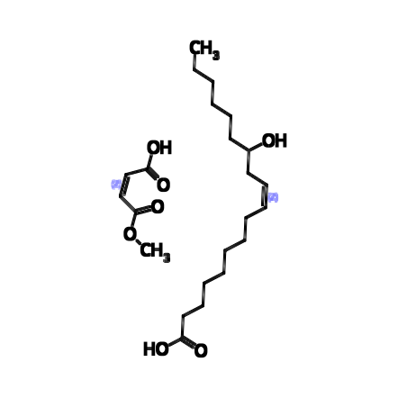 CCCCCCC(O)C/C=C\CCCCCCCC(=O)O.COC(=O)/C=C\C(=O)O